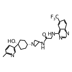 Cc1ccc([C@]2(O)CC[C@@H](N3CC(NC(=O)CNc4ncnc5ccc(C(F)(F)F)cc45)C3)CC2)cn1